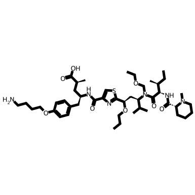 CCCO[C@H](C[C@H](C(C)C)N(COCC)C(=O)[C@@H](NC(=O)[C@H]1CCCCN1C)[C@@H](C)CC)c1nc(C(=O)N[C@@H](Cc2ccc(OCCCCN)cc2)C[C@H](C)C(=O)O)cs1